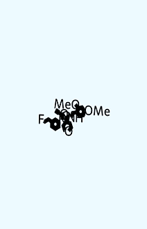 C#CC(=O)N(c1cccc(CCF)c1)C1(C(=O)NCc2ccc(OC)cc2OC)CCOCC1